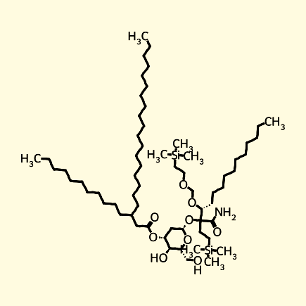 CCCCCCCCCCCCCCCCCCC(CCCCCCCCCCC)CC(=O)O[C@@H]1C[C@H](OC(CC[Si](C)(C)C)(C(N)=O)[C@@H](CCCCCCCCCCC)OCOCC[Si](C)(C)C)O[C@H](CO)[C@H]1O